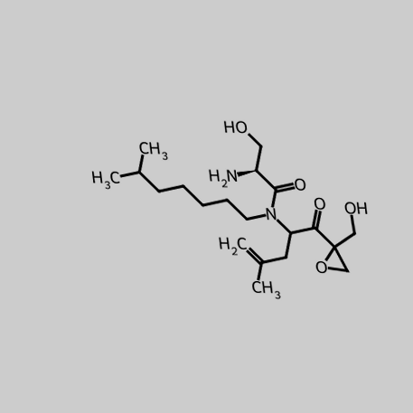 C=C(C)CC(C(=O)C1(CO)CO1)N(CCCCCC(C)C)C(=O)[C@@H](N)CO